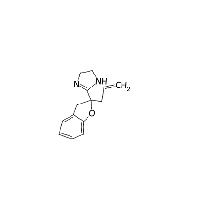 C=CCC1(C2=NCCN2)Cc2ccccc2O1